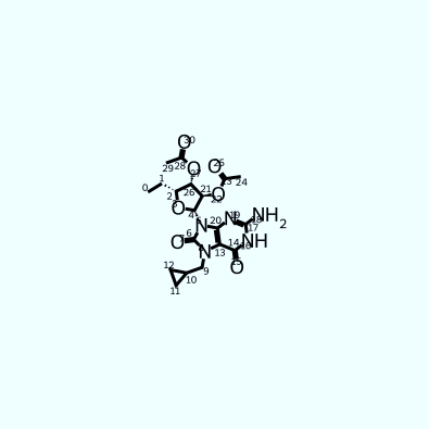 CC[C@H]1O[C@@H](n2c(=O)n(CC3CC3)c3c(=O)[nH]c(N)nc32)[C@H](OC(C)=O)[C@H]1OC(C)=O